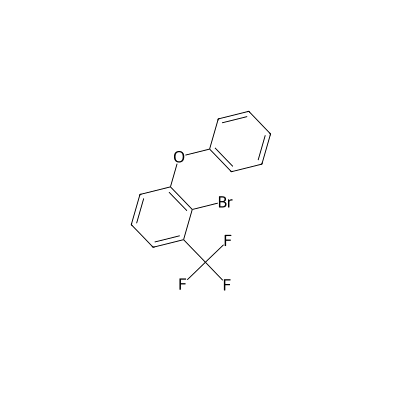 FC(F)(F)c1cccc(Oc2ccccc2)c1Br